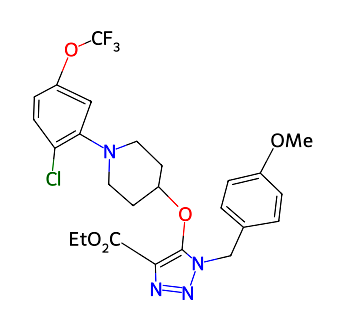 CCOC(=O)c1nnn(Cc2ccc(OC)cc2)c1OC1CCN(c2cc(OC(F)(F)F)ccc2Cl)CC1